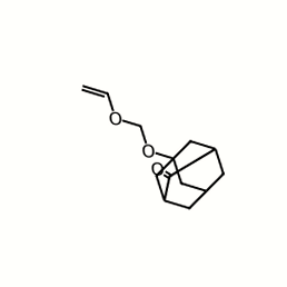 C=COCOC12CC3CC(C1)C(=O)C(C3)C2